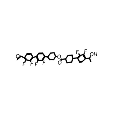 CC(O)c1ccc(C2CCC(C(=O)OC3CCC(c4ccc(-c5ccc(C6CO6)c(F)c5F)c(F)c4F)CC3)CC2)c(F)c1F